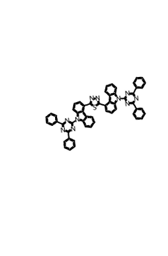 c1ccc(-c2nc(-c3ccccc3)nc(-n3c4ccccc4c4c(-c5nnc(-c6cccc7c6c6ccccc6n7-c6nc(-c7ccccc7)nc(-c7ccccc7)n6)s5)cccc43)n2)cc1